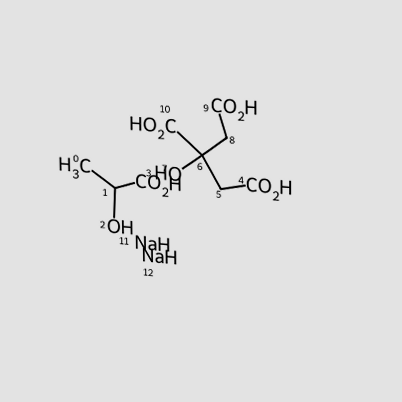 CC(O)C(=O)O.O=C(O)CC(O)(CC(=O)O)C(=O)O.[NaH].[NaH]